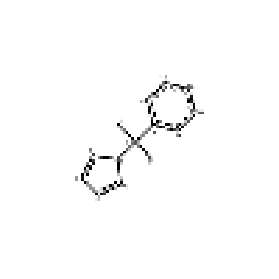 CC(C)([C]1C=CC=C1)c1ccccc1